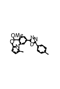 COC(=O)c1ccc(-c2nnc(-c3ccc(C)cc3)o2)cc1-n1c(C)ccc1C